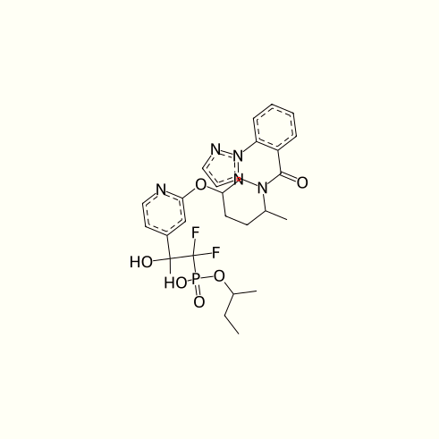 CCC(C)OP(=O)(O)C(F)(F)C(C)(O)c1ccnc(OC2CCC(C)N(C(=O)c3ccccc3-n3nccn3)C2)c1